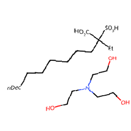 CCCCCCCCCCCCCCCCC(CC)(C(=O)O)S(=O)(=O)O.OCCN(CCO)CCO